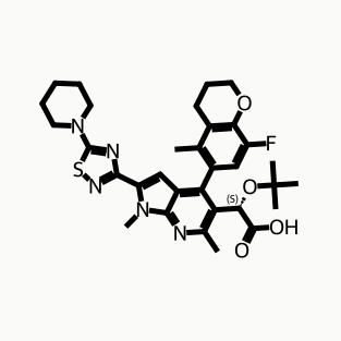 Cc1nc2c(cc(-c3nsc(N4CCCCC4)n3)n2C)c(-c2cc(F)c3c(c2C)CCCO3)c1[C@H](OC(C)(C)C)C(=O)O